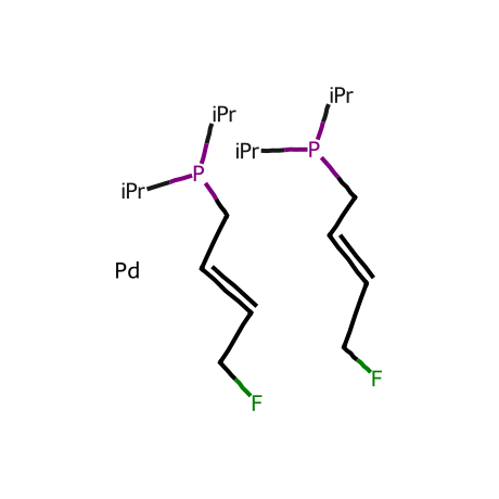 CC(C)P(CC=CCF)C(C)C.CC(C)P(CC=CCF)C(C)C.[Pd]